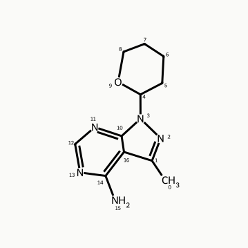 Cc1nn(C2CCCCO2)c2ncnc(N)c12